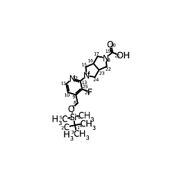 CC(C)(C)[Si](C)(C)OCc1ccnc(N2CC3CN(C(=O)O)CC3C2)c1F